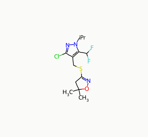 CC(C)n1nc(Cl)c(CSC2=NOC(C)(C)C2)c1C(F)F